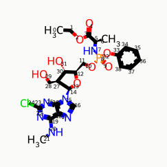 CCOC(=O)[C@@H](C)N[P@@](=O)(OC[C@H]1O[C@@H](n2cnc3c(NC)nc(Cl)nc32)[C@@H](CO)[C@@H]1O)Oc1ccccc1